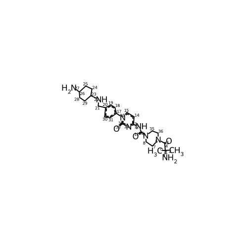 CC(C)(N)C(=O)N1CCN(C(=O)Nc2ccn(-c3ccc(CNC4CCC(N)CC4)cc3)c(=O)n2)CC1